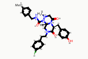 COc1ccc(CNC(=O)N2[C@H]3CN(CCc4ccc(F)cc4)C(=O)[C@H](Cc4ccc(O)cc4)N3C(=O)CN2C)cc1